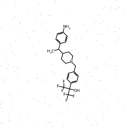 CC(c1ccc(N)cc1)C1CCN(Cc2ccc(C(O)(C(F)(F)F)C(F)(F)F)cc2)CC1